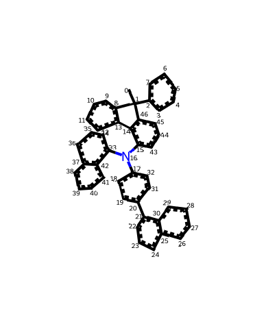 CC1(c2ccccc2)c2ccccc2-c2c(N(c3ccc(-c4cccc5ccccc45)cc3)c3cccc4ccccc34)cccc21